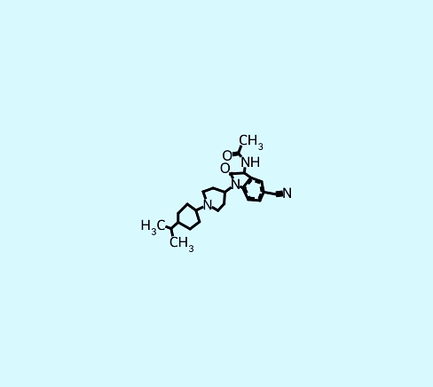 CC(=O)NC1C(=O)N(C2CCN(C3CCC(C(C)C)CC3)CC2)c2ccc(C#N)cc21